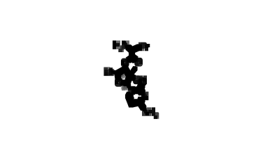 CC[C@H]1O[C@@H](n2ccc(N)nc2=O)[C@@](C)(O)C1OC(=O)C(N)C(C)C